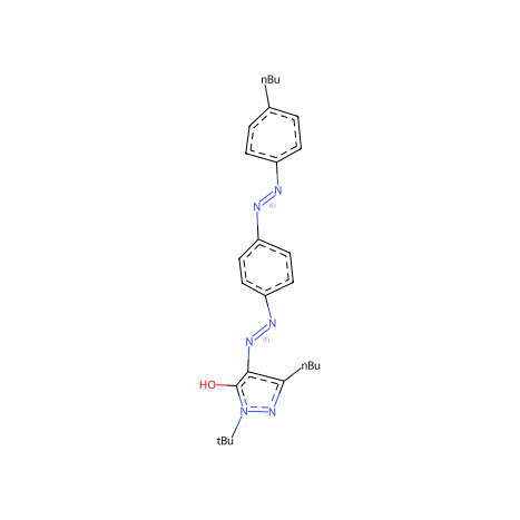 CCCCc1ccc(/N=N/c2ccc(/N=N/c3c(CCCC)nn(C(C)(C)C)c3O)cc2)cc1